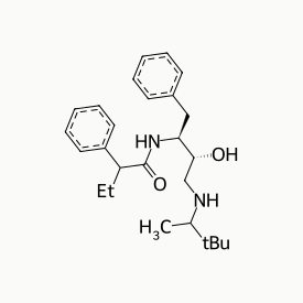 CCC(C(=O)N[C@@H](Cc1ccccc1)[C@H](O)CNC(C)C(C)(C)C)c1ccccc1